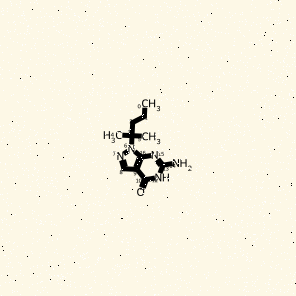 CCCC(C)(C)n1ncc2c(=O)[nH]c(N)nc21